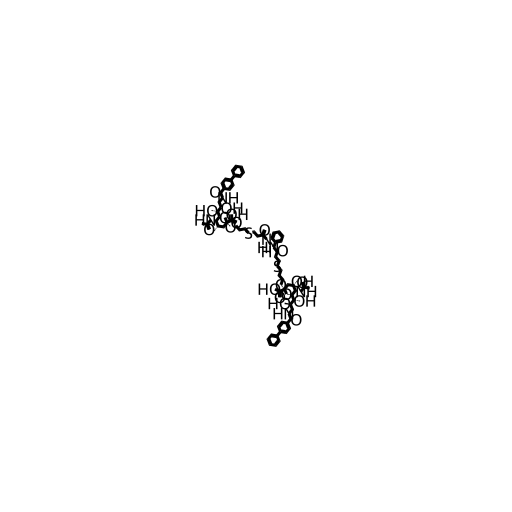 CC(=O)N[C@H]1[C@H]([C@H](O)[C@H](O)CNC(=O)c2ccc(-c3ccccc3)cc2)O[C@@](OCCCSCCC(=O)Nc2ccccc2NC(=O)CCSCCCO[C@]2(C(=O)O)C[C@H](C)[C@@H](NC(C)=O)C([C@H](O)C(O)CNC(=O)c3ccc(-c4ccccc4)cc3)O2)(C(=O)O)C[C@@H]1O